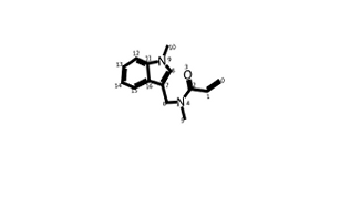 C=CC(=O)N(C)Cc1cn(C)c2ccccc12